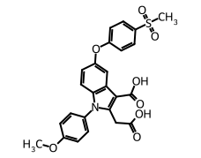 COc1ccc(-n2c(CC(=O)O)c(C(=O)O)c3cc(Oc4ccc(S(C)(=O)=O)cc4)ccc32)cc1